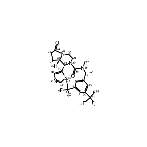 C[C@H](c1cc(C(F)(F)F)cc(C(F)(F)F)c1)N(C)C(=O)N1CCN2C(=O)CC[C@H]2[C@@H]1c1cncs1